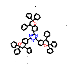 C1=C(c2ccccc2)c2cc(-c3nc(-c4ccc5c(c4)C(c4ccccc4)=CC(c4ccccc4)(c4ccccc4)O5)nc(-c4ccc5c(c4)C(c4ccccc4)=CC(c4ccccc4)(c4ccccc4)O5)n3)ccc2OC1(c1ccccc1)c1ccccc1